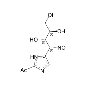 CC(=O)c1ncc([C@@H](N=O)[C@H](O)[C@H](O)CO)[nH]1